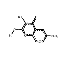 CCCc1c(OCC)oc2ccc(C)cc2c1=O